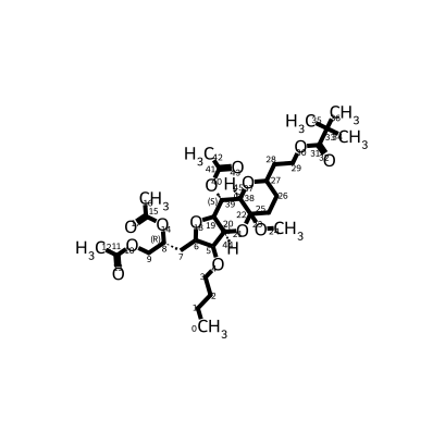 CCCCOC1C(C[C@H](COC(C)=O)OC(C)=O)OC2[C@H]1OC1(OC)CCC(CCOC(=O)C(C)(C)C)O[C@@H]1[C@H]2OC(C)=O